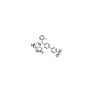 Cc1ccsc1[C@H](c1ccc(-c2ccc(S(C)(=O)=O)cc2)cc1)N(CC#N)[C@@H](CC(C)C)C(N)=O